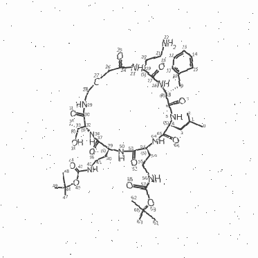 CC(C)C[C@@H]1NC(=O)[C@@H](Cc2ccccc2)NC(=O)[C@H](CCN)NC(=O)CCCNC(=O)[C@H]([C@@H](C)O)NC(=O)[C@H](CCNC(=O)OC(C)(C)C)NC(=O)[C@H](CCNC(=O)OC(C)(C)C)NC1=O